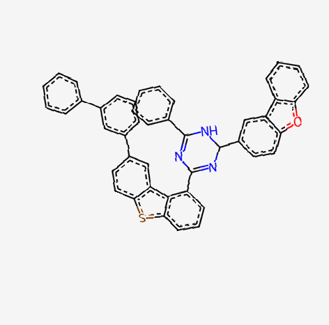 c1ccc(C2=NC(c3cccc4sc5ccc(-c6cccc(-c7ccccc7)c6)cc5c34)=NC(c3ccc4oc5ccccc5c4c3)N2)cc1